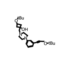 CC(C)(C)OCC#Cc1cccc(N2CCN(CC3(O)CC(OC(C)(C)C)C3)CC2)c1